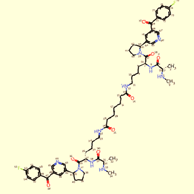 CN[C@@H](C)C(=O)N[C@@H](CCCCNC(=O)CCCCCC(=O)NCCCC[C@H](NC(=O)[C@H](C)NC)C(=O)N1CCC[C@H]1c1cncc(C(=O)c2ccc(F)cc2)c1)C(=O)N1CCC[C@H]1c1cncc(C(=O)c2ccc(F)cc2)c1